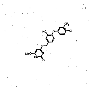 COc1cc(OCc2ccc(Oc3ccc(Cl)c(C(F)(F)F)c3)c(C#N)c2)nc(=O)[nH]1